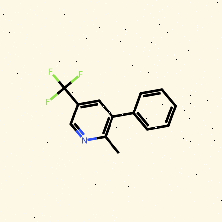 Cc1ncc(C(F)(F)F)cc1-c1ccccc1